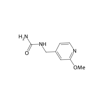 COc1cc(CNC(N)=O)ccn1